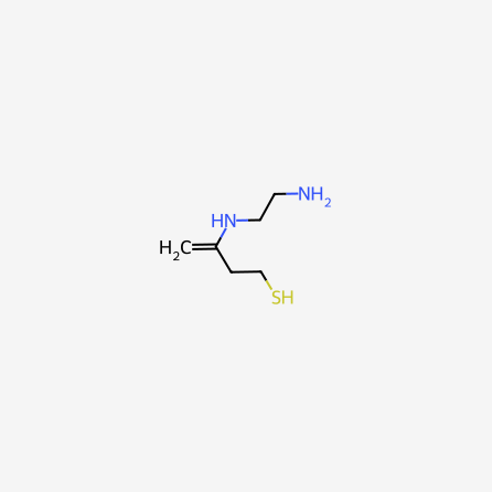 C=C(CCS)NCCN